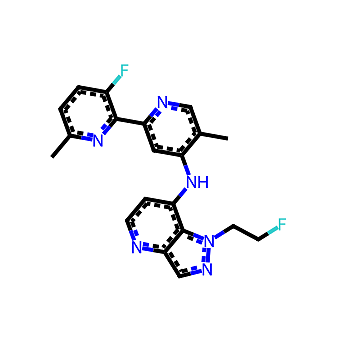 Cc1ccc(F)c(-c2cc(Nc3ccnc4cnn(CCF)c34)c(C)cn2)n1